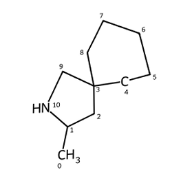 CC1CC2(CCCCC2)CN1